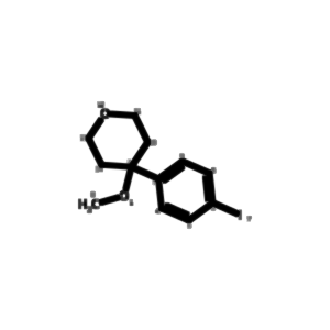 COC1(c2ccc(I)cc2)CCOCC1